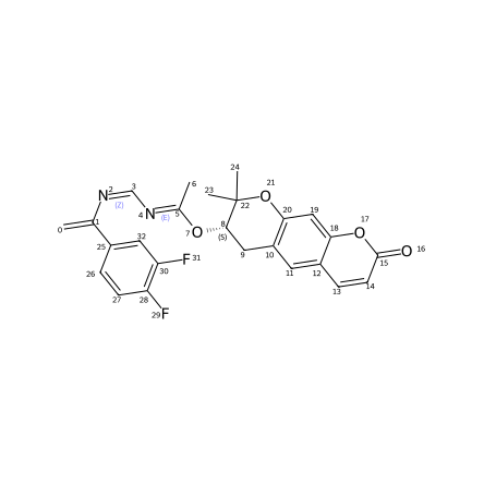 C=C(/N=C\N=C(/C)O[C@H]1Cc2cc3ccc(=O)oc3cc2OC1(C)C)c1ccc(F)c(F)c1